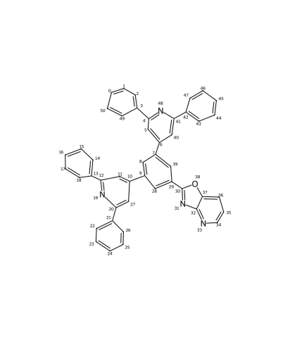 c1ccc(-c2cc(-c3cc(-c4cc(-c5ccccc5)nc(-c5ccccc5)c4)cc(-c4nc5ncccc5o4)c3)cc(-c3ccccc3)n2)cc1